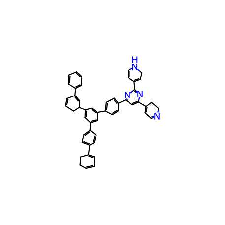 C1=CCCC(c2ccc(-c3cc(-c4ccc(-c5cc(C6=CC=NCC6)nc(C6=CCNC=C6)n5)cc4)cc(C4C=C(c5ccccc5)C=CC4)c3)cc2)=C1